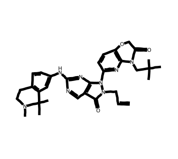 C=CCn1c(=O)c2cnc(Nc3ccc4c(c3)C(C)(C)N(C)CC4)nc2n1-c1ccc2c(n1)N(CC(C)(C)C)C(=O)CO2